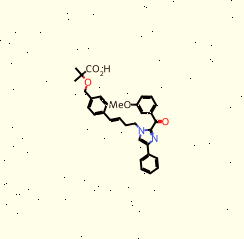 COc1cccc(C(=O)c2nc(-c3ccccc3)cn2CC/C=C/c2ccc(COC(C)(C)C(=O)O)cc2)c1